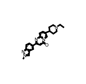 CCN1CCC(c2ccc3nc(-c4ccc5nn(C)cc5c4)cc(=O)n3c2)CC1